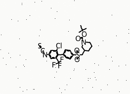 CC(C)(C)OC(=O)N1CCCC(CS(=O)(=O)c2ccc(-c3c(Cl)cc(N=C=S)cc3C(F)(F)F)cc2)C1